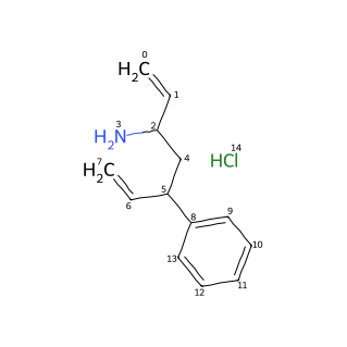 C=CC(N)CC(C=C)c1ccccc1.Cl